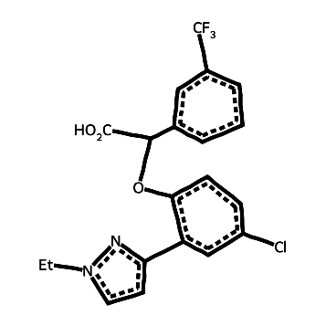 CCn1ccc(-c2cc(Cl)ccc2OC(C(=O)O)c2cccc(C(F)(F)F)c2)n1